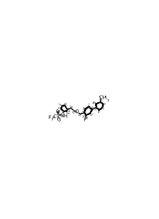 Cc1cccc(-c2ccc(COCCc3cccc(NS(=O)(=O)C(F)(F)F)c3)c(F)c2)c1